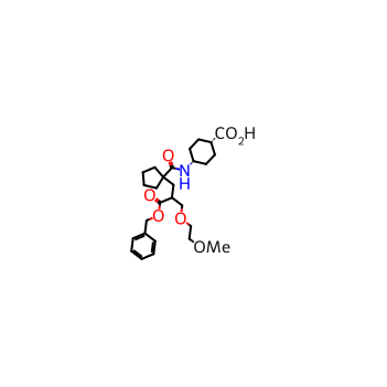 COCCOCC(CC1(C(=O)N[C@H]2CC[C@@H](C(=O)O)CC2)CCCC1)C(=O)OCc1ccccc1